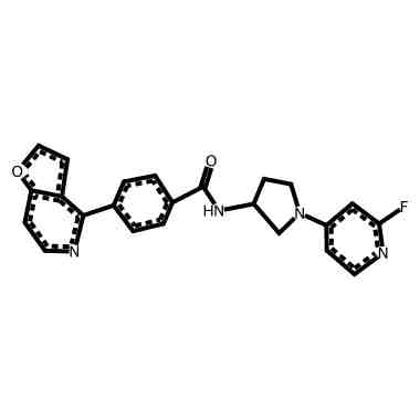 O=C(NC1CCN(c2ccnc(F)c2)C1)c1ccc(-c2nccc3occc23)cc1